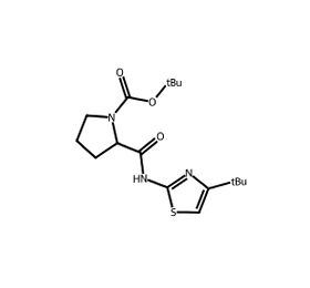 CC(C)(C)OC(=O)N1CCCC1C(=O)Nc1nc(C(C)(C)C)cs1